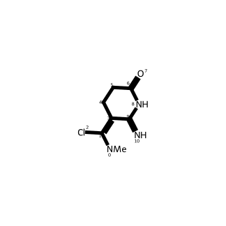 CN/C(Cl)=C1/CCC(=O)NC1=N